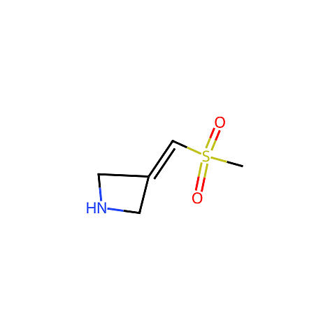 CS(=O)(=O)C=C1CNC1